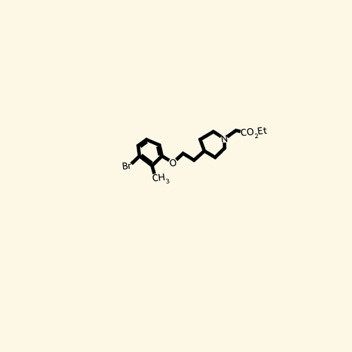 CCOC(=O)CN1CCC(CCOc2cccc(Br)c2C)CC1